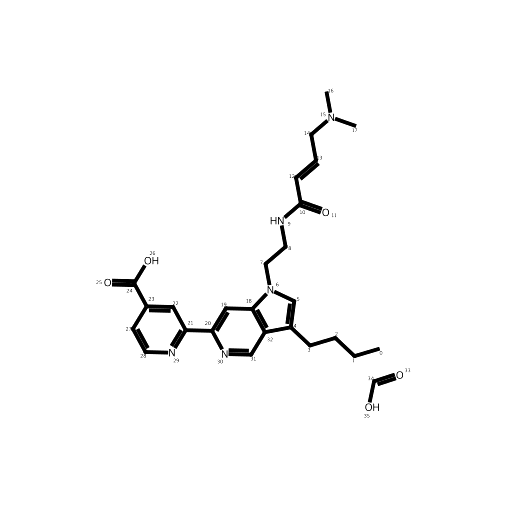 CCCCc1cn(CCNC(=O)/C=C/CN(C)C)c2cc(-c3cc(C(=O)O)ccn3)ncc12.O=CO